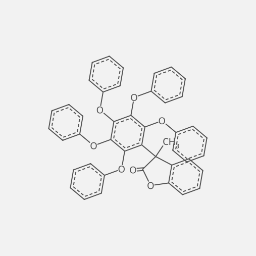 CC1(c2c(Oc3ccccc3)c(Oc3ccccc3)c(Oc3ccccc3)c(Oc3ccccc3)c2Oc2ccccc2)C(=O)Oc2ccccc21